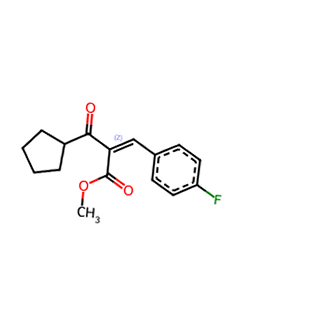 COC(=O)/C(=C\c1ccc(F)cc1)C(=O)C1CCCC1